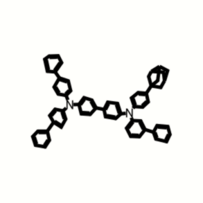 c1ccc(-c2ccc(N(c3ccc(-c4ccccc4)cc3)c3ccc(-c4ccc(N(c5ccc(C67CC8CC(C6)C(C8)C7)cc5)c5cccc(-c6ccccc6)c5)cc4)cc3)cc2)cc1